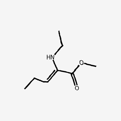 CCC=C(NCC)C(=O)OC